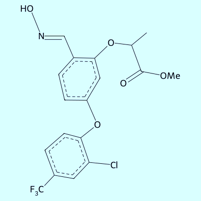 COC(=O)C(C)Oc1cc(Oc2ccc(C(F)(F)F)cc2Cl)ccc1C=NO